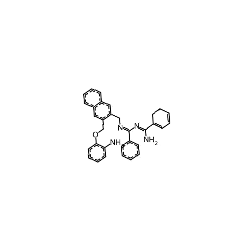 N/C(=N\C(=N/Cc1cc2ccccc2cc1COc1ccccc1N)c1ccccc1)C1=CC=CCC1